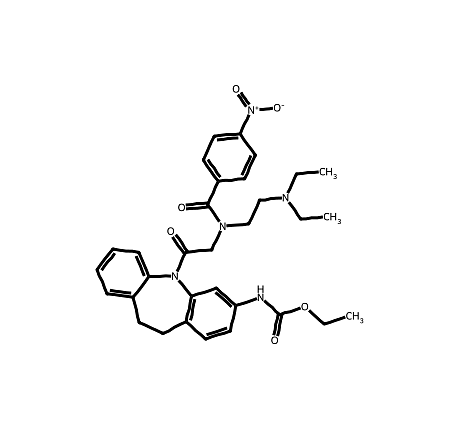 CCOC(=O)Nc1ccc2c(c1)N(C(=O)CN(CCN(CC)CC)C(=O)c1ccc([N+](=O)[O-])cc1)c1ccccc1CC2